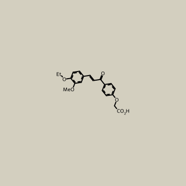 CCOc1ccc(C=CC(=O)c2ccc(OCC(=O)O)cc2)cc1OC